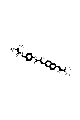 C=C(C)C(=O)Cc1ccc2cc(/C=C(\C)C(=O)Oc3ccc(COC(=O)C(=C)C)cc3)ccc2c1